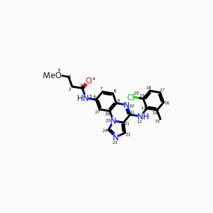 COCCC(=O)Nc1ccc2nc(Nc3c(C)cccc3Cl)c3cncn3c2c1